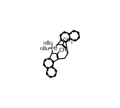 CCC[CH2][Hf]1([CH2]CCC)[CH]2C(C)=C(CCC3=C(C)[CH]1c1ccc4ccccc4c13)c1c2ccc2ccccc12